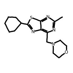 Cc1nc(CN2CCOCC2)c2nc(C3CCCCC3)sc2n1